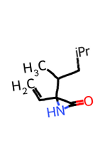 C=CC1(C(C)CC(C)C)NC1=O